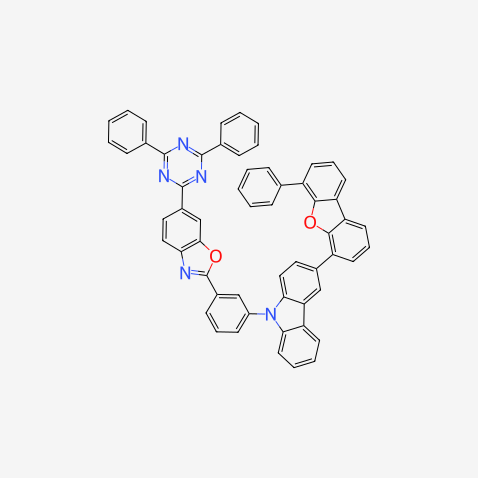 c1ccc(-c2nc(-c3ccccc3)nc(-c3ccc4nc(-c5cccc(-n6c7ccccc7c7cc(-c8cccc9c8oc8c(-c%10ccccc%10)cccc89)ccc76)c5)oc4c3)n2)cc1